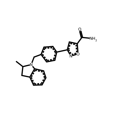 CC1Cc2ccccc2N1Cc1ccc(-c2cc(C(N)=O)on2)cc1